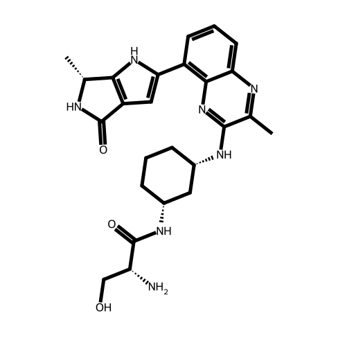 Cc1nc2cccc(-c3cc4c([nH]3)[C@@H](C)NC4=O)c2nc1N[C@H]1CCC[C@@H](NC(=O)[C@H](N)CO)C1